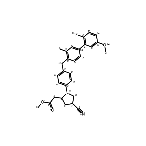 COC(=O)CC1CC(C#N)CN1c1ccc(Cc2ccc(-c3cc(OC)ccc3F)cc2C)cc1